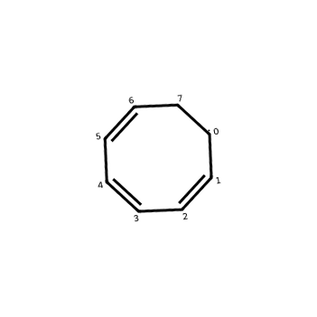 [CH]1\C=C/C=C\C=C/C1